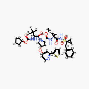 C=C[C@@H]1C[C@]1(NC(=O)[C@@H]1C[C@@H](Oc2ccnc(-c3cccs3)c2)CN1C(=O)C(NC(=O)OC1CCCC1)C(C)(C)C)C(=O)NS(=O)(=O)C1(Cc2ccccc2)CC1